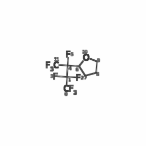 FC(F)(F)C(F)(F)C(F)(C1CCCO1)C(F)(F)F